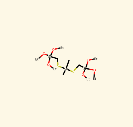 CCO[Si](C[S][Sn]([CH3])([CH3])[S]C[Si](OCC)(OCC)OCC)(OCC)OCC